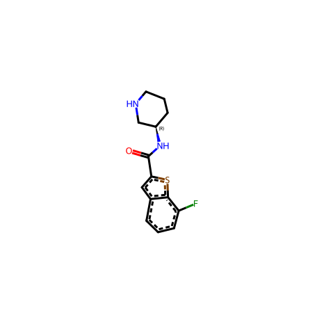 O=C(N[C@@H]1CCCNC1)c1cc2cccc(F)c2s1